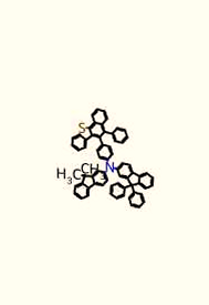 CC1(C)c2ccccc2-c2ccc(N(c3ccc(-c4c(-c5ccccc5)c5ccccc5c5sc6ccccc6c45)cc3)c3ccc4c(c3)C(c3ccccc3)(c3ccccc3)c3ccccc3-4)cc21